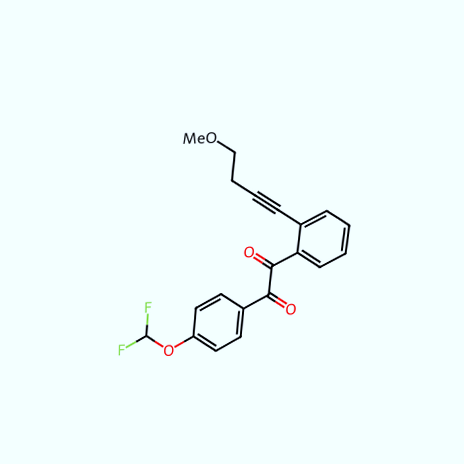 COCCC#Cc1ccccc1C(=O)C(=O)c1ccc(OC(F)F)cc1